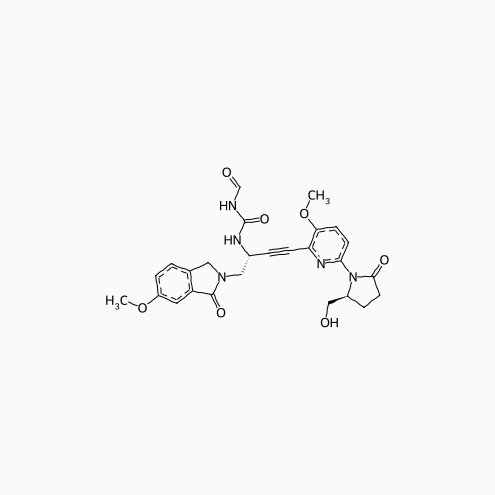 COc1ccc2c(c1)C(=O)N(C[C@@H](C#Cc1nc(N3C(=O)CC[C@H]3CO)ccc1OC)NC(=O)NC=O)C2